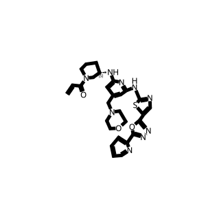 C=CC(=O)N1CCC[C@H](Nc2cc(CN3CCOCC3)cc(Nc3ncc(-c4nnc(-c5ccccn5)o4)s3)n2)C1